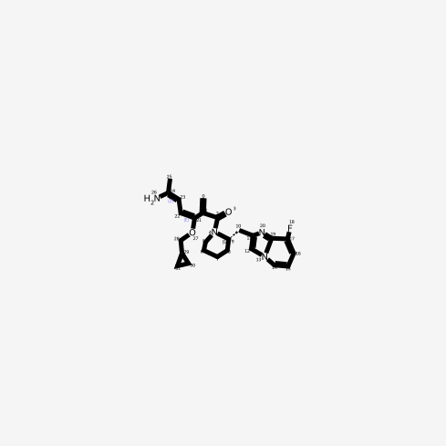 C=C(C(=O)N1CCCC[C@H]1Cc1cn2cccc(F)c2n1)/C(=C\C=C(\C)N)OCC1CC1